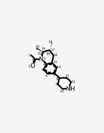 CC(=O)N1c2ccc(C3CCNCC3)cc2C[C@@H](C)[C@@H]1C